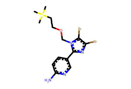 CS(C)(C)CCOCn1c(-c2ccc(N)nc2)nc(Br)c1Br